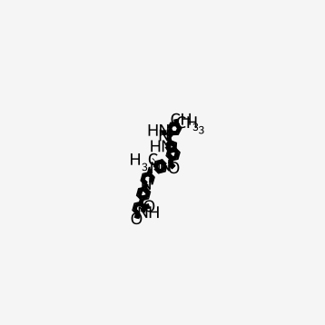 C[C@@H]1CN(C(=O)c2ccc3cc(-c4n[nH]c5c4CCC(C)(C)C5)[nH]c3c2)CCN1CC1CCN(c2ccc(C3CCC(=O)NC3=O)cc2)CC1